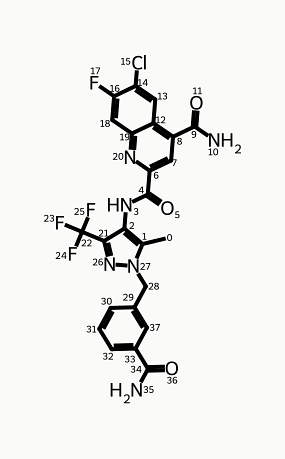 Cc1c(NC(=O)c2cc(C(N)=O)c3cc(Cl)c(F)cc3n2)c(C(F)(F)F)nn1Cc1cccc(C(N)=O)c1